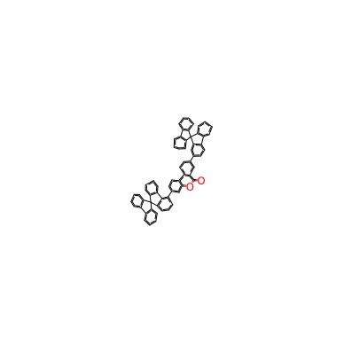 O=c1oc2cc(-c3cccc4c3-c3ccccc3C43c4ccccc4-c4ccccc43)ccc2c2ccc(-c3ccc4c(c3)C3(c5ccccc5-c5ccccc53)c3ccccc3-4)cc12